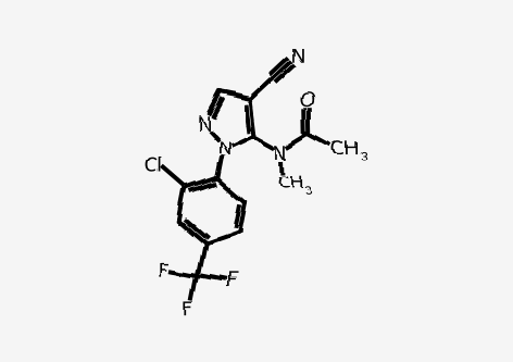 CC(=O)N(C)c1c(C#N)cnn1-c1ccc(C(F)(F)F)cc1Cl